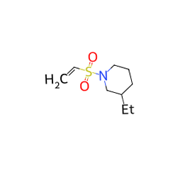 C=CS(=O)(=O)N1CCCC(CC)C1